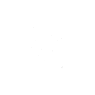 CC(C)c1ccc2c(c1)OC1(OC=O)c3ccccc3C(=O)C21O